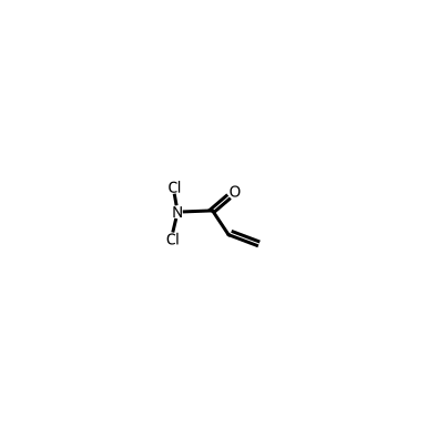 C=CC(=O)N(Cl)Cl